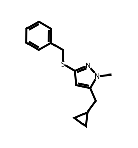 Cn1nc(SCc2ccccc2)cc1CC1CC1